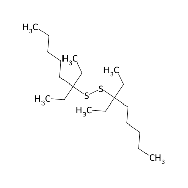 CCCCCC(CC)(CC)SSC(CC)(CC)CCCCC